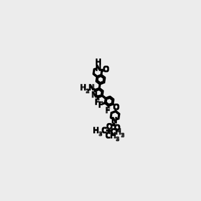 CC(C)(C)OC(=O)N1CCC(Oc2ccc(-c3cc(-c4ccc5c(c4)CCNC5=O)c(N)nc3F)c(F)c2F)CC1